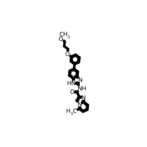 COCCCOc1cccc(-c2ccc3[nH]c(NC(=O)c4cn5c(C)cccc5n4)nc3c2)c1